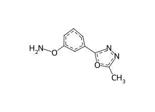 Cc1nnc(-c2cccc(ON)c2)o1